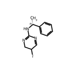 C[C@@H](NC1=NCC(I)C=N1)c1ccccc1